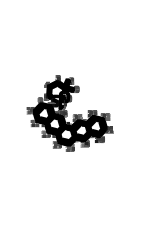 CC1(C)CCC[Si](C)(c2cccc3cc4ccc5cc6ccccc6cc5c4cc23)O1